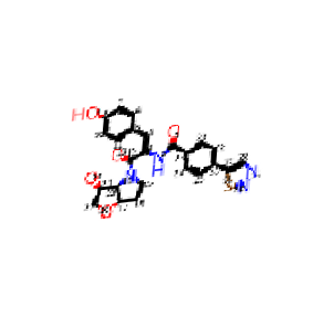 O=C(NC(Cc1ccc(O)cc1)C(=O)N1CCC2OCC(=O)C21)c1ccc(-c2cnns2)cc1